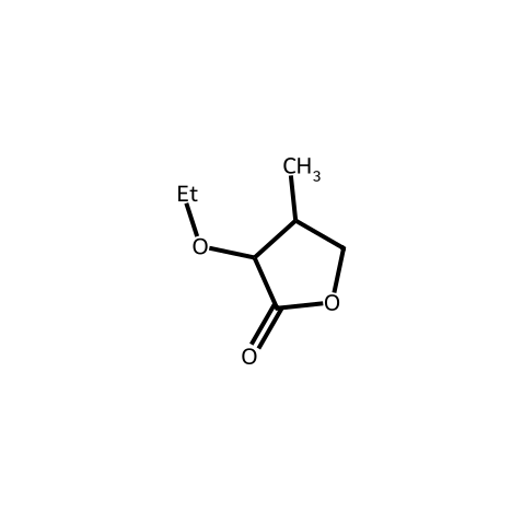 CCOC1C(=O)OCC1C